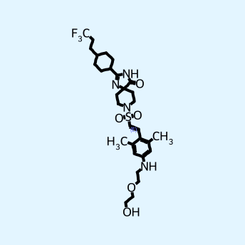 Cc1cc(NCCOCCO)cc(C)c1/C=C/S(=O)(=O)N1CCC2(CC1)N=C(C1CCC(CCC(F)(F)F)CC1)NC2=O